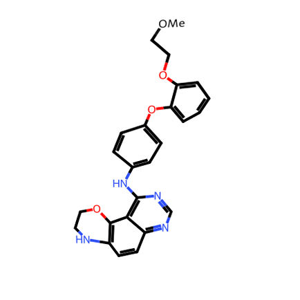 COCCOc1ccccc1Oc1ccc(Nc2ncnc3ccc4c(c23)OCCN4)cc1